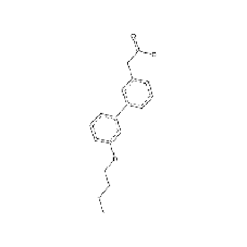 CCCCOc1cccc(-c2cccc(CC(=O)Cl)c2)c1